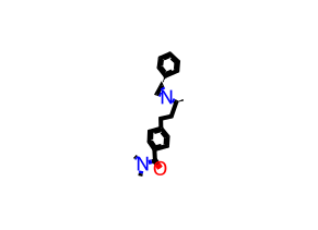 C[C@H](CCc1ccc(C(=O)N(C)C)cc1)N1C[C@@H]1c1ccccc1